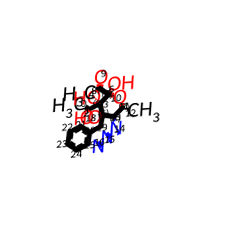 CC(=O)[C@@]1(O)[C@](O)(C(C)=O)O[C@H](C)[C@@H](N=[N+]=[N-])[C@@]1(O)Cc1ccccc1